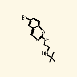 CC(C)(C)NCCNc1ncc2cc(Br)ccc2n1